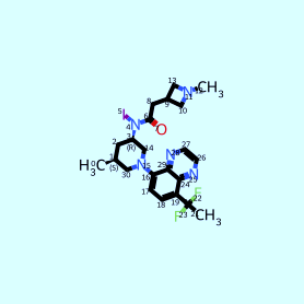 C[C@H]1C[C@@H](N(I)C(=O)CC2CN(C)C2)CN(c2ccc(C(C)(F)F)c3nccnc23)C1